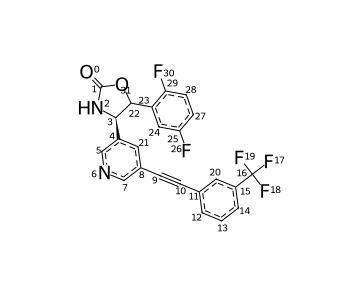 O=C1N[C@H](c2cncc(C#Cc3cccc(C(F)(F)F)c3)c2)C(c2cc(F)ccc2F)O1